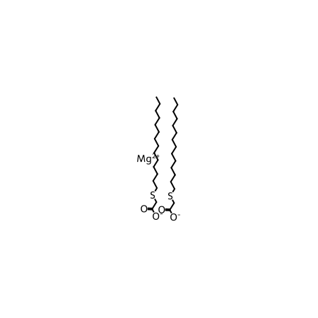 CCCCCCCCCCCCCCSCC(=O)[O-].CCCCCCCCCCCCCCSCC(=O)[O-].[Mg+2]